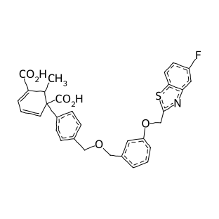 CC1C(C(=O)O)=CC=CC1(C(=O)O)c1ccc(COCc2cccc(OCc3nc4cc(F)ccc4s3)c2)cc1